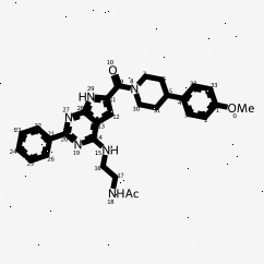 COc1ccc(C2CCN(C(=O)c3cc4c(NCCNC(C)=O)nc(-c5ccccc5)nc4[nH]3)CC2)cc1